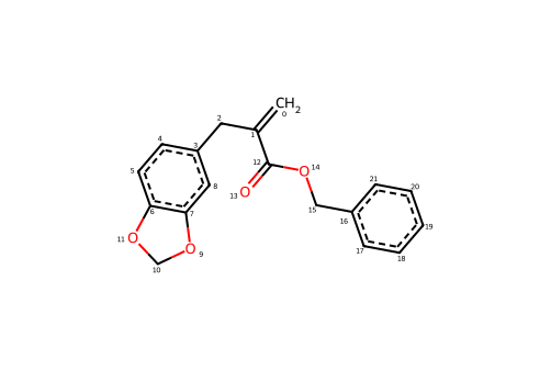 C=C(Cc1ccc2c(c1)OCO2)C(=O)OCc1ccccc1